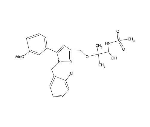 COc1cccc(-c2cc(COC(C)(C)C(O)NS(C)(=O)=O)nn2Cc2ccccc2Cl)c1